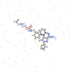 C=C(C)CNCCOC(=O)NCc1ccc(Cn2c(-c3ccns3)nc3c(N)nc4ccccc4c32)cc1